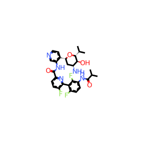 CC(C)C(=O)Nc1ccc(F)c(-c2nc(C(=O)Nc3cnccc3[C@H]3C[C@@H](N)[C@H](O)[C@@H](C(C)C)O3)ccc2F)c1F